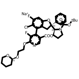 CC(C)(C)OC(=O)N1CCC[C@H]1[C@@]1(c2ccccc2)Cc2c(cc(F)c(Cl)c2-c2c(C(=O)[O-])cnc(OCCO[C@H]3CCCCO3)c2F)O1.[Na+]